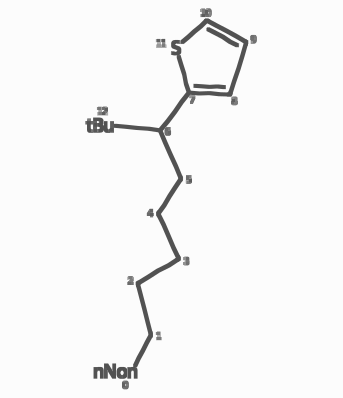 CCCCCCCCCCCCCCC(c1cccs1)C(C)(C)C